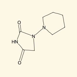 O=C1CN(N2CCCCC2)C(=O)N1